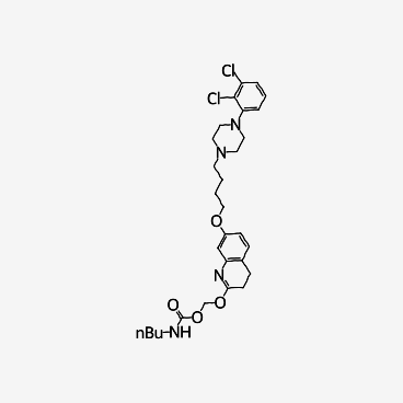 CCCCNC(=O)OCOC1=Nc2cc(OCCCCN3CCN(c4cccc(Cl)c4Cl)CC3)ccc2CC1